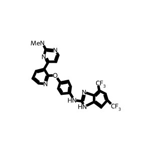 CNc1nccc(-c2cccnc2Oc2ccc(Nc3nc4c(C(F)(F)F)cc(C(F)(F)F)cc4[nH]3)cc2)n1